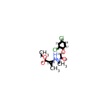 CCOC(=O)C1C(C)C1NN(C)C(=O)COc1ccc(Cl)cc1Cl